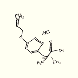 C=CCOc1ccc([C@](C)(N)C(=O)O)cc1.Cl